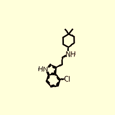 CC1(C)CCC(NCCc2c[nH]c3cccc(Cl)c23)CC1